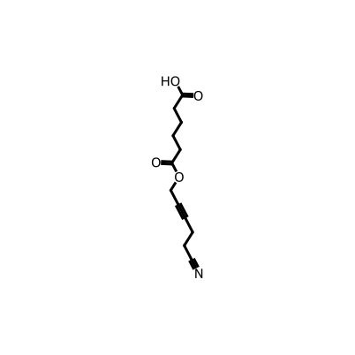 N#CCCC#CCOC(=O)CCCCC(=O)O